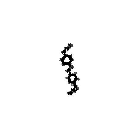 [N-]=[N+]=Nc1ccc(N=Nc2ccc(N=[N+]=[N-])cc2)cc1